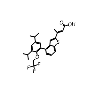 C/C(=C\C(=O)O)c1cc2c(-c3cc(C(C)C)cc(C(C)C)c3OCC(F)(F)F)cccc2s1